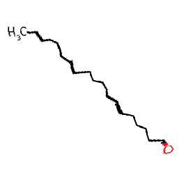 CCCCCCCCCCCC=CCCCCC=O